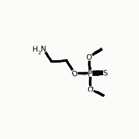 COP(=S)(OC)OCCN